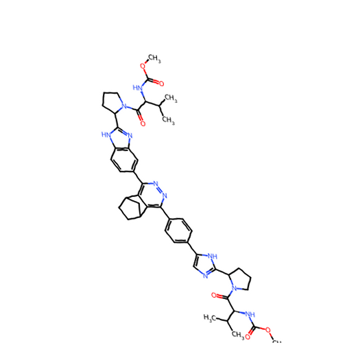 COC(=O)N[C@H](C(=O)N1CCCC1c1ncc(-c2ccc(-c3nnc(-c4ccc5[nH]c(C6CCCN6C(=O)[C@@H](NC(=O)OC)C(C)C)nc5c4)c4c3C3CCC4C3)cc2)[nH]1)C(C)C